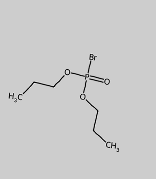 CCCOP(=O)(Br)OCCC